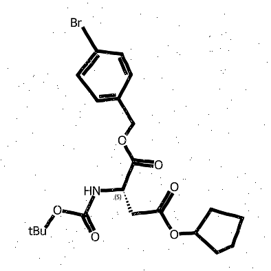 CC(C)(C)OC(=O)N[C@@H](CC(=O)OC1CCCC1)C(=O)OCc1ccc(Br)cc1